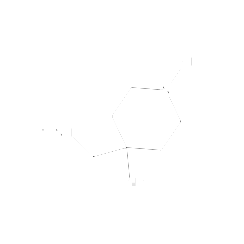 CCCC1(CNC(C)=O)CCN(C)CC1